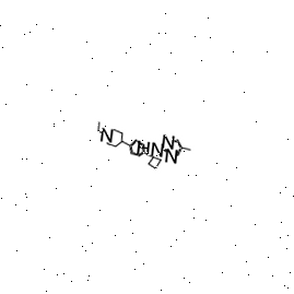 CCN1CCC(c2ccc(C3(Nc4ncc(C)cn4)CCC3)cc2)CC1